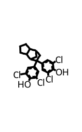 Oc1c(Cl)cc(C2(c3cc(Cl)c(O)c(Cl)c3)CC3CC2C2CCCC32)cc1Cl